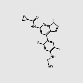 CCCSNc1cc(F)c(-c2cc(NC(=O)C3CC3)nc3[nH]ccc23)cc1F